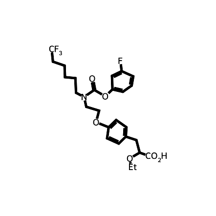 CCOC(Cc1ccc(OCCN(CCCCCC(F)(F)F)C(=O)Oc2cccc(F)c2)cc1)C(=O)O